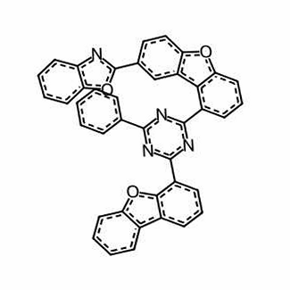 c1ccc(-c2nc(-c3cccc4c3oc3ccccc34)nc(-c3cccc4oc5ccc(-c6nc7ccccc7o6)cc5c34)n2)cc1